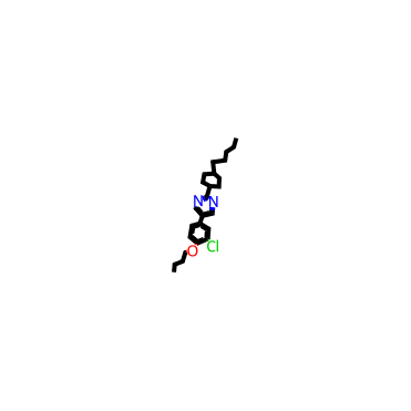 CCCCCC1CCC(c2ncc(-c3ccc(OCCCC)c(Cl)c3)cn2)CC1